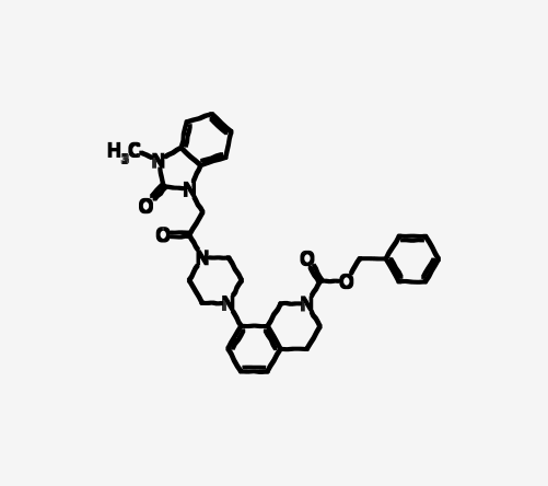 Cn1c(=O)n(CC(=O)N2CCN(c3cccc4c3CN(C(=O)OCc3ccccc3)CC4)CC2)c2ccccc21